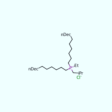 CCCCCCCCCCCCCCCC[P+](CC)(CCCCCCCCCCCCCCCC)CC(C)C.[Cl-]